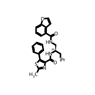 Cc1nc(C(=O)N[C@@H](CNC(=O)c2cccc3occc23)CC(C)C)c(-c2ccccc2)s1